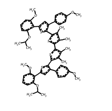 COc1ccc(-c2cc(-c3c(OC)cccc3OC(C)C)sc2-c2sc(-c3sc(-c4sc(-c5c(OC)cccc5OC(C)C)cc4-c4ccc(OC)cc4)c(C)c3C)c(C)c2C)cc1